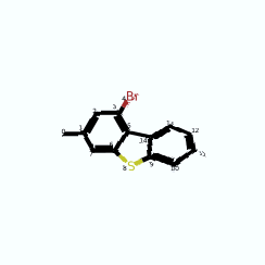 Cc1cc(Br)c2c(c1)sc1ccccc12